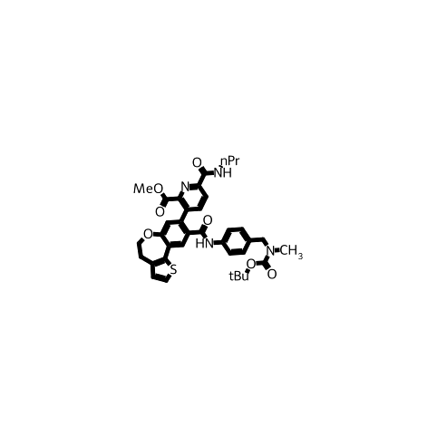 CCCNC(=O)c1ccc(-c2cc3c(cc2C(=O)Nc2ccc(CN(C)C(=O)OC(C)(C)C)cc2)-c2sccc2CCO3)c(C(=O)OC)n1